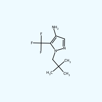 CC(C)(C)Cn1ncc(N)c1C(F)(F)F